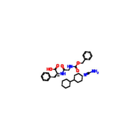 C1CCC(C2CCCCC2)CC1.N#CN.O=C(CNC(=O)OCc1ccccc1)N[C@@H](Cc1ccccc1)C(=O)O